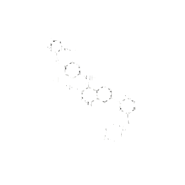 CN1CCN(Cc2ccnc(-c3ccc4c(Nc5ccc(Sc6nccn6C)c(Cl)c5)c(C#N)cnc4c3)c2)CC1